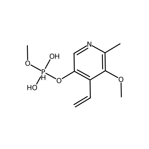 C=Cc1c(O[PH](O)(O)OC)cnc(C)c1OC